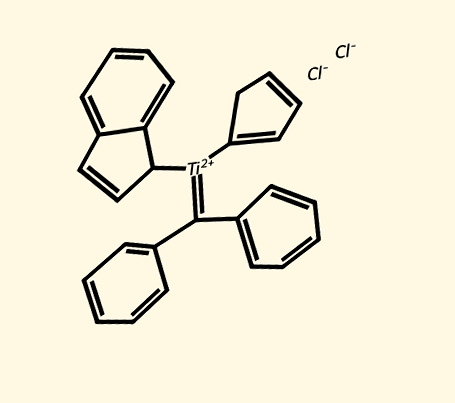 C1=CC[C]([Ti+2](=[C](c2ccccc2)c2ccccc2)[CH]2C=Cc3ccccc32)=C1.[Cl-].[Cl-]